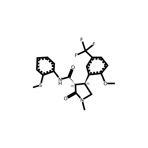 COc1ccc(C(F)(F)F)cc1[C@H]1CN(C)C(=O)[C@@H]1C(=O)Nc1ccccc1SC